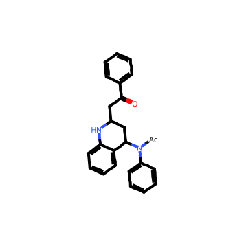 CC(=O)N(c1ccccc1)C1CC(CC(=O)c2ccccc2)Nc2ccccc21